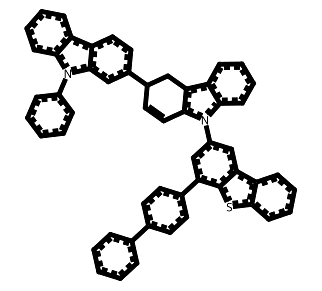 C1=CC(c2ccc3c4ccccc4n(-c4ccccc4)c3c2)Cc2c1n(-c1cc(-c3ccc(-c4ccccc4)cc3)c3sc4ccccc4c3c1)c1ccccc21